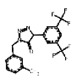 Cc1[c]ccc(CN2N=NC(c3cc(C(F)(F)F)cc(C(F)(F)F)c3)C2=O)c1